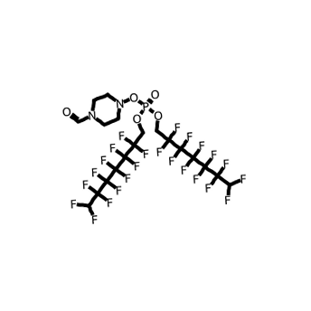 O=CN1CCN(OP(=O)(OCC(F)(F)C(F)(F)C(F)(F)C(F)(F)C(F)(F)C(F)F)OCC(F)(F)C(F)(F)C(F)(F)C(F)(F)C(F)(F)C(F)F)CC1